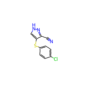 N#Cc1n[nH]cc1Sc1ccc(Cl)cc1